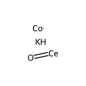 [Co].[KH].[O]=[Ce]